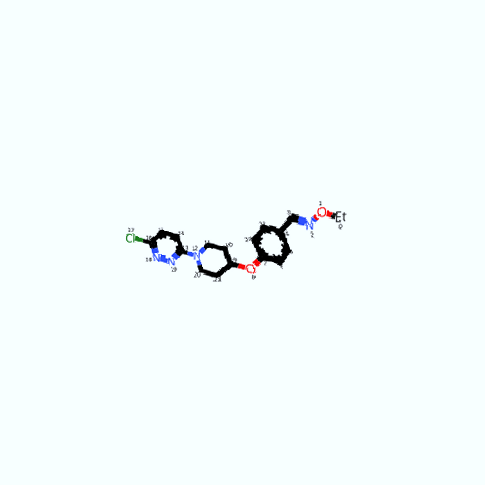 CCON=Cc1ccc(OC2CCN(c3ccc(Cl)nn3)CC2)cc1